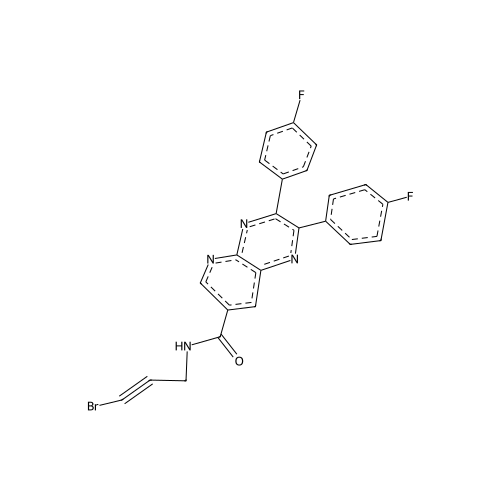 O=C(NCC#CBr)c1cnc2nc(-c3ccc(F)cc3)c(-c3ccc(F)cc3)nc2c1